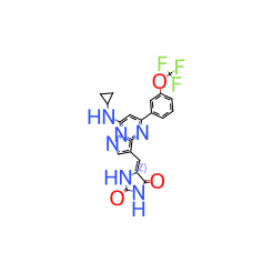 O=C1NC(=O)/C(=C/c2cnn3c(NC4CC4)cc(-c4cccc(OC(F)(F)F)c4)nc23)N1